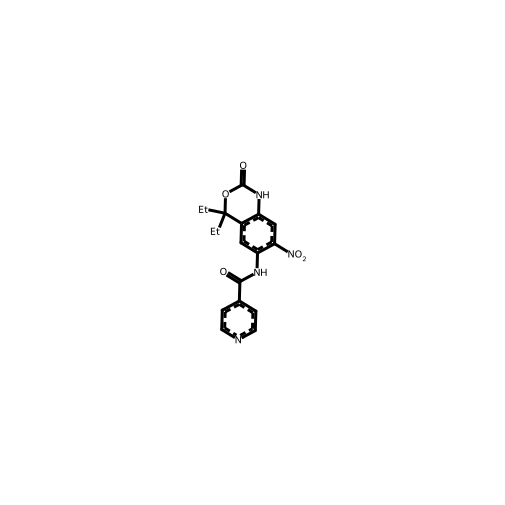 CCC1(CC)OC(=O)Nc2cc([N+](=O)[O-])c(NC(=O)c3ccncc3)cc21